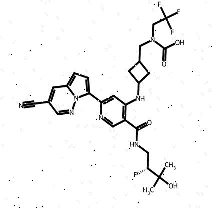 CC(C)(O)[C@H](F)CNC(=O)c1cnc(-c2ccc3cc(C#N)cnn23)cc1NC1CC(CN(CC(F)(F)F)C(=O)O)C1